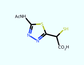 CC(=O)Nc1nnc(C(S)C(=O)O)s1